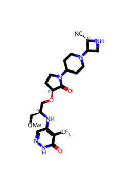 COC[C@@H](CO[C@H]1CCN(C2CCN(C3CN[C@H]3C#N)CC2)C1=O)Nc1cn[nH]c(=O)c1C(F)(F)F